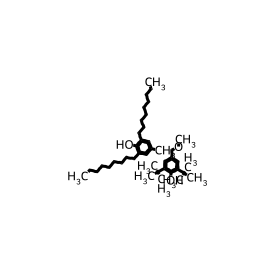 CCCCCCCCCc1cc(C)cc(CCCCCCCCC)c1O.COCc1cc(C(C)(C)C)c(O)c(C(C)(C)C)c1